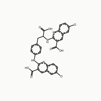 O=C(O)c1cc2cc(Cl)ccc2nc1Nc1ccc(CC(Nc2nc3ccc(Cl)cc3cc2C(=O)O)C(=O)O)cc1